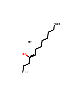 CCCCCCCCCCCCCCCC=C(O)CCC(=O)[O-].[Na+]